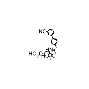 N#Cc1cccc(-c2ccc(C[C@H](CC(=O)O)NC(=O)CCC(=O)O)cc2)c1